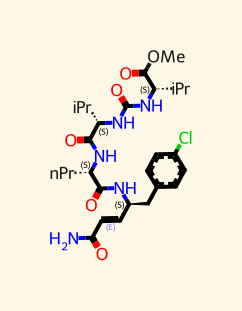 CCC[C@H](NC(=O)[C@@H](NC(=O)N[C@H](C(=O)OC)C(C)C)C(C)C)C(=O)N[C@H](/C=C/C(N)=O)Cc1ccc(Cl)cc1